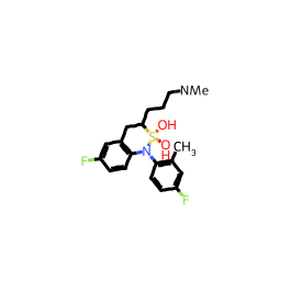 CNCCCC1Cc2cc(F)ccc2N(c2ccc(F)cc2C)S1(O)O